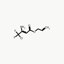 C=CCOC(=O)C=C(N)C(F)(F)Cl